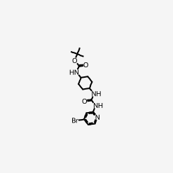 CC(C)(C)OC(=O)NC1CCC(NC(=O)Nc2cc(Br)ccn2)CC1